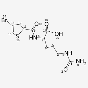 NC(=O)NCCCC(NC(=O)C1CC(Br)=CS1)C(=O)O